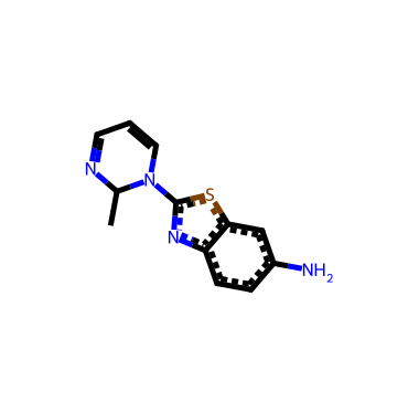 CC1N=CC=CN1c1nc2ccc(N)cc2s1